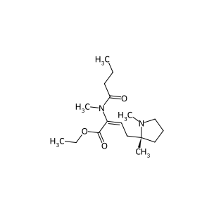 CCCC(=O)N(C)/C(=C/C[C@@]1(C)CCCN1C)C(=O)OCC